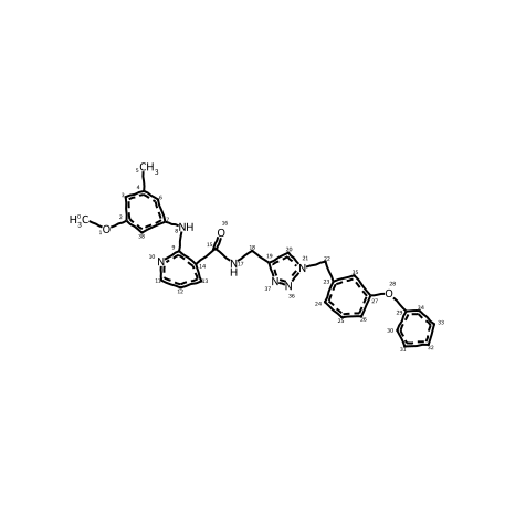 COc1cc(C)cc(Nc2ncccc2C(=O)NCc2cn(Cc3cccc(Oc4ccccc4)c3)nn2)c1